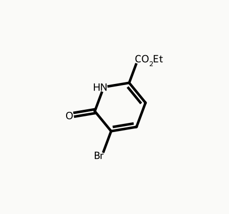 CCOC(=O)c1ccc(Br)c(=O)[nH]1